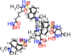 CC(CCCCC(=O)NO)NS(=O)(=O)c1cccc2c(N(C)C)cccc12.CCCC(NS(=O)(=O)c1cccc2c(N(C)C)c(C(CCCCNS(=O)(=O)c3cccc4c(N(C)C)cccc34)C(=O)NO)ccc12)C(=O)NO